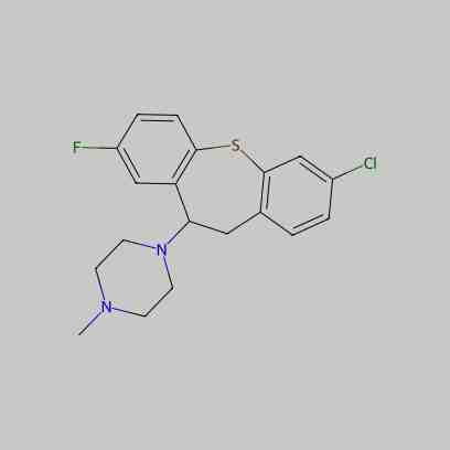 CN1CCN(C2Cc3ccc(Cl)cc3Sc3ccc(F)cc32)CC1